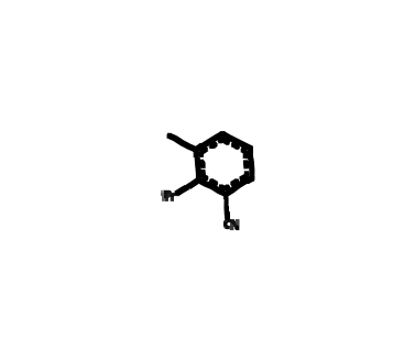 Cc1cccc(C#N)c1C(C)C